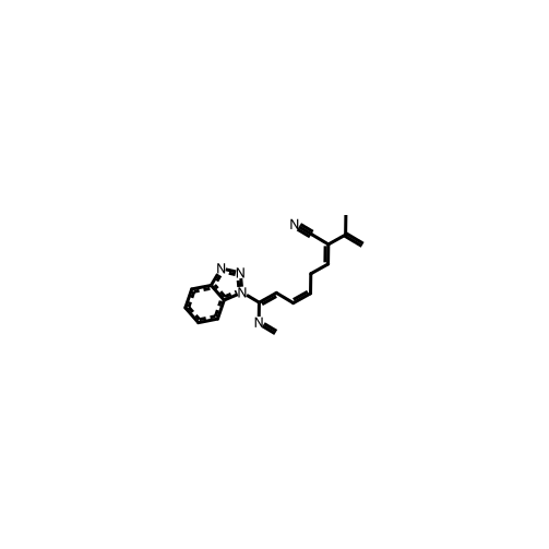 C=N/C(=C\C=C/C/C=C(\C#N)C(=C)C)n1nnc2ccccc21